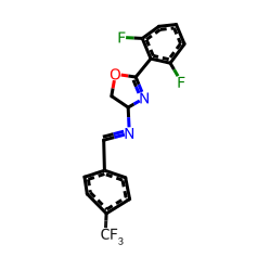 Fc1cccc(F)c1C1=NC(N=Cc2ccc(C(F)(F)F)cc2)CO1